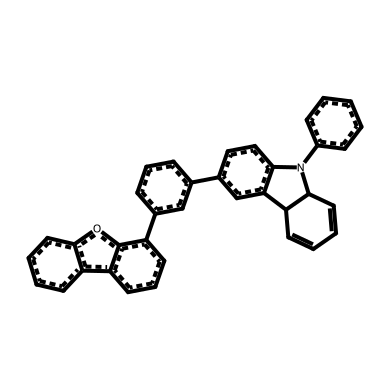 C1=CC2c3cc(-c4cccc(-c5cccc6c5oc5ccccc56)c4)ccc3N(c3ccccc3)C2C=C1